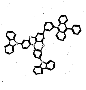 c1ccc(-c2c3ccccc3c(-c3cccc(-c4cc5c6c(c4)Oc4cc(-n7c8ccccc8c8ccccc87)ccc4B6c4ccc(-n6c7ccccc7c7ccccc76)cc4O5)c3)c3ccccc23)cc1